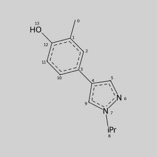 Cc1cc(-c2cnn(C(C)C)c2)ccc1O